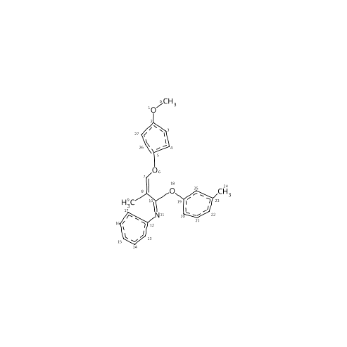 COc1ccc(OC=C(C)C(=Nc2ccccc2)Oc2cccc(C)c2)cc1